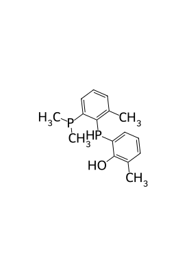 Cc1cccc(Pc2c(C)cccc2P(C)C)c1O